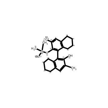 Cc1cc2c(c(-c3c4c(cc(C)c3O[Si](C)(C)C(C)(C)C)CCCC4)c1O)CCCC2